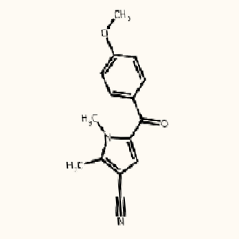 COc1ccc(C(=O)c2cc(C#N)c(C)n2C)cc1